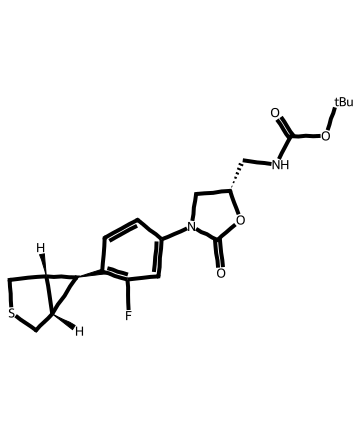 CC(C)(C)OC(=O)NC[C@H]1CN(c2ccc([C@H]3[C@@H]4CSC[C@@H]43)c(F)c2)C(=O)O1